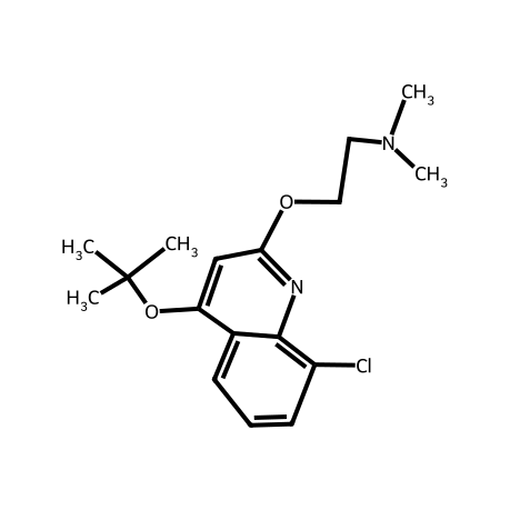 CN(C)CCOc1cc(OC(C)(C)C)c2cccc(Cl)c2n1